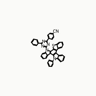 N#Cc1ccc(-c2nc(-c3ccccc3)nc(-n3c4ccccc4c4c3c3sc5ccccc5c3c3c5ccccc5n(-c5ccccc5)c34)n2)cc1